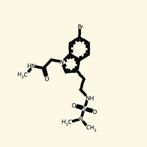 CNC(=O)Cn1cc(CCNS(=O)(=O)N(C)C)c2ccc(Br)cc21